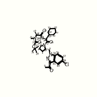 CC(=O)c1nn(C[C@@H]2CCCN2C(=O)[C@@H](NC(=O)[C@H](C)N(C)C(=O)OC(C)(C)C)C2CCCCC2)c2ccc(Cl)cc12